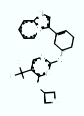 FC(F)(F)c1cnc(N[C@@H]2CCC=C(c3cnc4ccccn34)C2)nc1OC1COC1